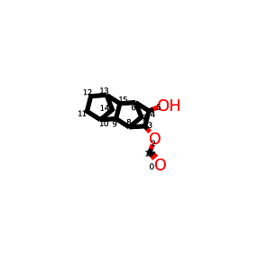 O=COC1C(O)C2CC1C1C3CCC(C3)C21